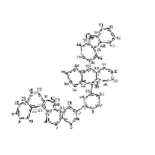 c1cc(-c2ccc3ccc4c(sc5ccc6ccccc6c54)c3c2)cc(-c2c3ccccc3c(-c3ccc4oc5ccccc5c4c3)c3ccccc23)c1